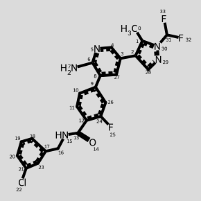 Cc1c(-c2cnc(N)c(-c3ccc(C(=O)NCc4cccc(Cl)c4)c(F)c3)c2)cnn1C(F)F